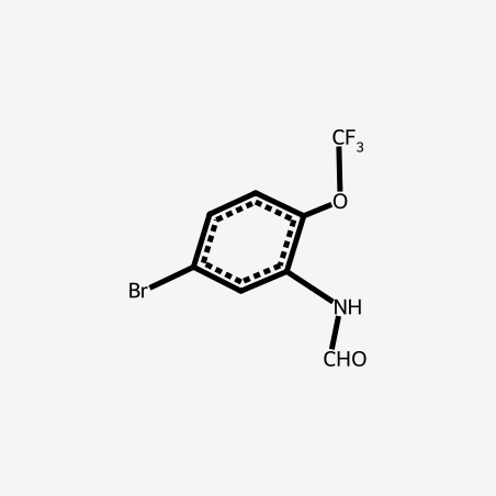 O=CNc1cc(Br)ccc1OC(F)(F)F